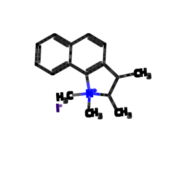 CC1c2ccc3ccccc3c2[N+](C)(C)C1C.[I-]